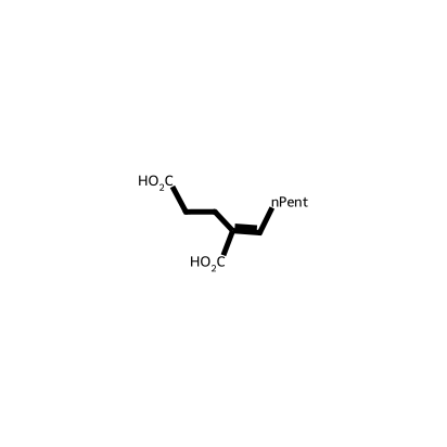 CCCCCC=C(CCC(=O)O)C(=O)O